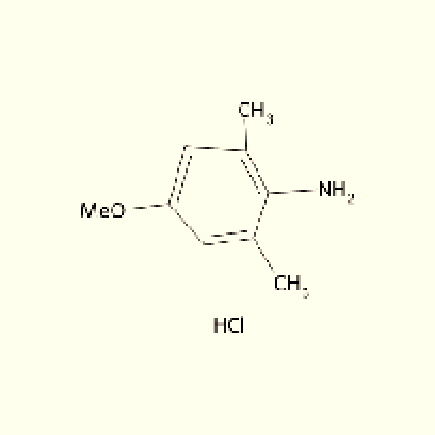 COc1cc(C)c(N)c(C)c1.Cl